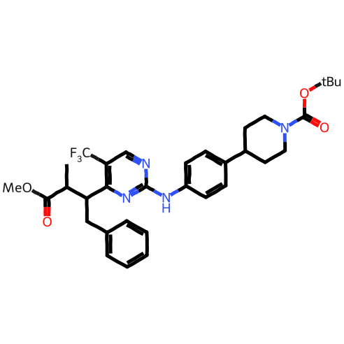 COC(=O)C(C)C(Cc1ccccc1)c1nc(Nc2ccc(C3CCN(C(=O)OC(C)(C)C)CC3)cc2)ncc1C(F)(F)F